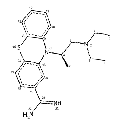 CCN(CC)C[C@@H](C)N1c2ccccc2Sc2ccc(C(=N)N)cc21